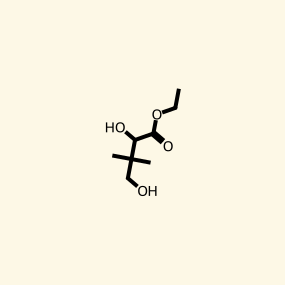 CCOC(=O)C(O)C(C)(C)CO